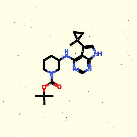 CC(C)(C)OC(=O)N1CCCC(Nc2ncnc3[nH]cc(C4(C)CC4)c23)C1